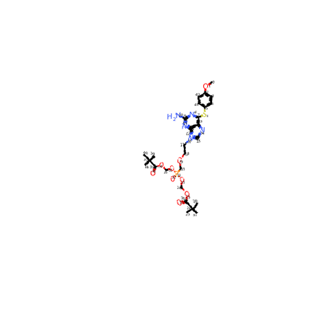 COc1ccc(Sc2nc(N)nc3c2ncn3CCOCP(=O)(OCOC(=O)C(C)(C)C)OCOC(=O)C(C)(C)C)cc1